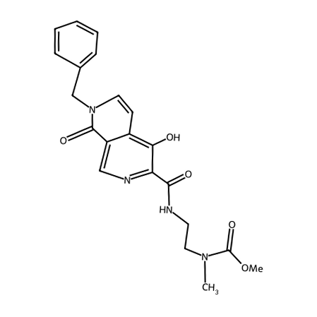 COC(=O)N(C)CCNC(=O)c1ncc2c(=O)n(Cc3ccccc3)ccc2c1O